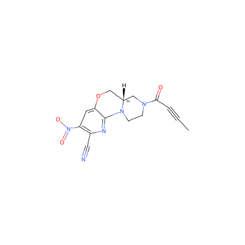 CC#CC(=O)N1CCN2c3nc(C#N)c([N+](=O)[O-])cc3OC[C@@H]2C1